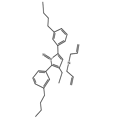 C=C[CH2][Ni][CH2]C=C.CCCCc1cccc(C2=CC(CC)=C(c3cccc(CCCC)c3)[N+]2=[N-])c1